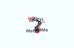 CCC(O)(C=CCC(C)c1cccc(OCc2ccc(C(=O)OC)c(C(=O)OC)c2)c1)CC